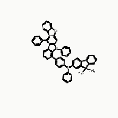 CC1(C)c2ccccc2-c2ccc(N(c3ccccc3)c3ccc(-c4cccc5c6c(-c7ccccc7)c7c(cc6n(-c6ccccc6)c45)oc4ccccc47)cc3)cc21